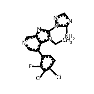 CCn1c(-n2ncnc2N)nc2cncc(-c3ccc(Cl)c(Cl)c3F)c21